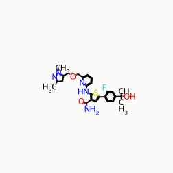 CC1=NN(C)C(COCc2cccc(Nc3sc(-c4ccc(C(C)(C)O)cc4F)cc3C(N)=O)n2)C1